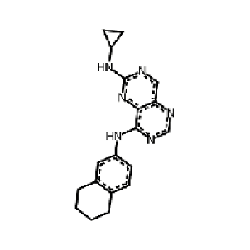 c1nc(Nc2ccc3c(c2)CCCC3)c2nc(NC3CC3)ncc2n1